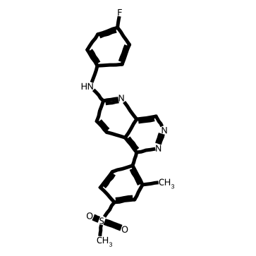 Cc1cc(S(C)(=O)=O)ccc1-c1nncc2nc(Nc3ccc(F)cc3)ccc12